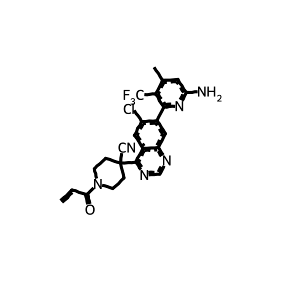 C=CC(=O)N1CCC(C#N)(c2ncnc3cc(-c4nc(N)cc(C)c4C(F)(F)F)c(Cl)cc23)CC1